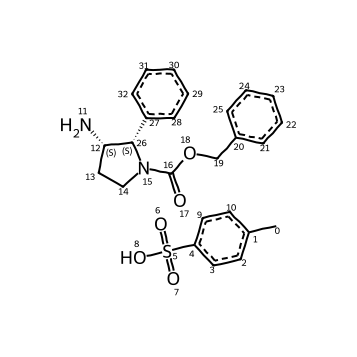 Cc1ccc(S(=O)(=O)O)cc1.N[C@H]1CCN(C(=O)OCc2ccccc2)[C@H]1c1ccccc1